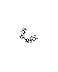 CO[C@H]1CC[C@@H](CN2CCCC[C@@H]2COc2ccc3c(c2)CN(C2CCC(=O)NC2=O)C3=O)CC1